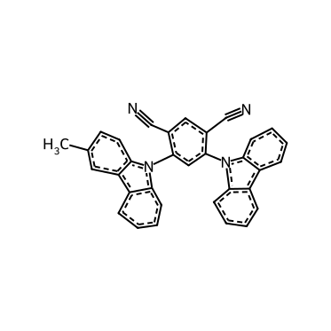 Cc1ccc2c(c1)c1ccccc1n2-c1cc(-n2c3ccccc3c3ccccc32)c(C#N)cc1C#N